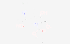 COC[C@H]([C@H](O)c1cc(Cl)nc(Br)c1)N(CCO)C(=O)OC(C)(C)C